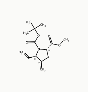 C=C[C@@H]1[C@H](C)C[C@@H](C(=O)OC)N1C(=O)OC(C)(C)C